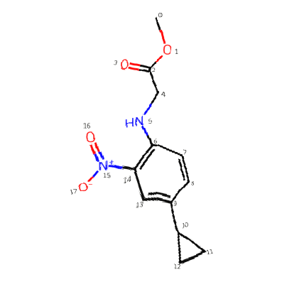 COC(=O)CNc1ccc(C2CC2)cc1[N+](=O)[O-]